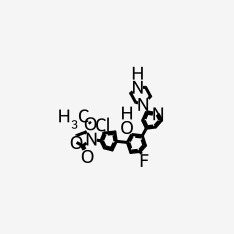 CO[C@H]1COC(=O)N1c1ccc(-c2cc(F)cc(-c3ccnc(N4CCNCC4)c3)c2O)cc1Cl